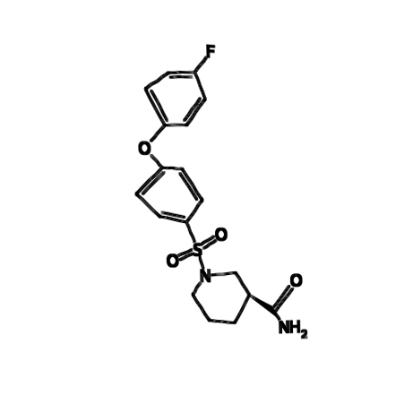 NC(=O)[C@H]1CCCN(S(=O)(=O)c2ccc(Oc3ccc(F)cc3)cc2)C1